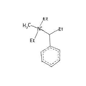 CCC(c1ccccc1)[N+](C)(CC)CC